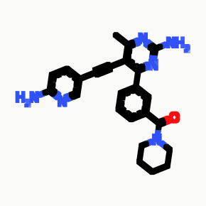 Cc1nc(N)nc(-c2cccc(C(=O)N3CCCCC3)c2)c1C#Cc1ccc(N)nc1